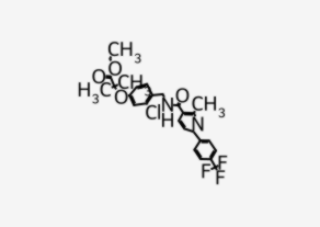 CCOC(=O)C(C)(C)Oc1ccc(CNC(=O)c2ccc(-c3ccc(C(F)(F)F)cc3)nc2C)c(Cl)c1